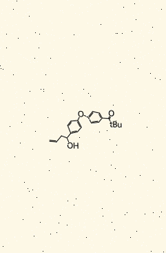 C=CCC(O)c1ccc(Oc2ccc(C(=O)C(C)(C)C)cc2)cc1